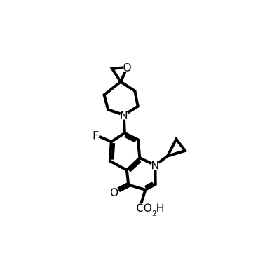 O=C(O)c1cn(C2CC2)c2cc(N3CCC4(CC3)CO4)c(F)cc2c1=O